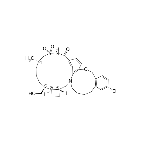 C[C@H]1CCC[C@H](CO)[C@@H]2CC[C@H]2CN2CCCCc3cc(Cl)ccc3COc3ccc(cc32)C(=O)NS(=O)(=O)C1